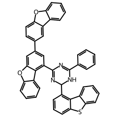 c1ccc(C2=NC(c3cc(-c4ccc5oc6ccccc6c5c4)cc4oc5ccccc5c34)=NC(c3cccc4sc5ccccc5c34)N2)cc1